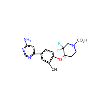 N#Cc1cc(-c2cc(N)ncn2)ccc1O[C@H]1CCN(C(=O)O)CC1(F)F